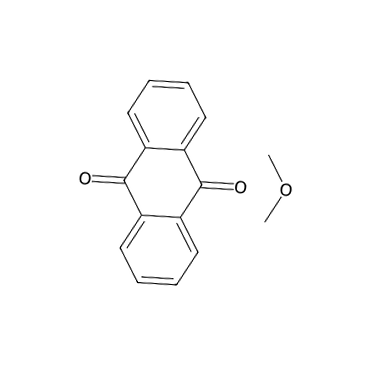 COC.O=C1c2ccccc2C(=O)c2ccccc21